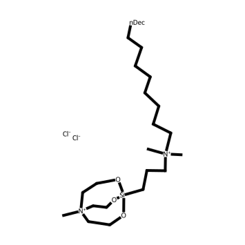 CCCCCCCCCCCCCCCCCC[N+](C)(C)CCC[Si]12OCC[N+](C)(CCO1)CCO2.[Cl-].[Cl-]